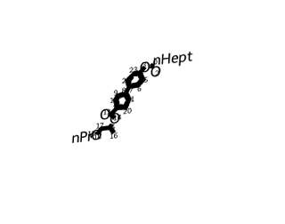 CCCCCCCC(=O)Oc1ccc(-c2ccc(C(=O)OC(C)COCCC)cc2)cc1